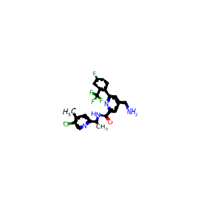 Cc1cc(C(C)NC(=O)c2cc(CN)cc(-c3ccc(F)cc3C(F)(F)F)n2)ncc1Cl